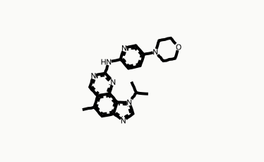 Cc1cc2ncn(C(C)C)c2c2nc(Nc3ccc(N4CCOCC4)cn3)ncc12